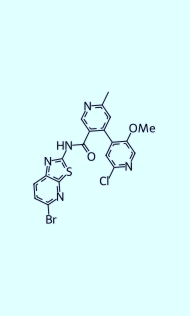 COc1cnc(Cl)cc1-c1cc(C)ncc1C(=O)Nc1nc2ccc(Br)nc2s1